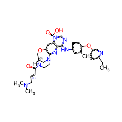 CCc1ccc(Oc2ccc(Nc3ncnc4cc5c(nc34)N3CCN(C(=O)/C=C/CN(C)C)[C@H](CO5)C3)cc2C)cn1.O=CO